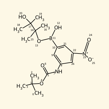 CC(C)(C)OC(=O)Nc1cc(B(O)OC(C)(C)C(C)(C)O)cc([N+](=O)[O-])c1